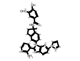 CC1(NC(=O)c2ccc(O)c(C=O)c2)CCc2cc(-n3c(-c4cccnc4N)nc4ccc(-n5cccn5)nc43)ccc21